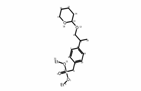 CCOP(=O)(Cc1ccc(C(C)COC2CCCCO2)cc1)OCC